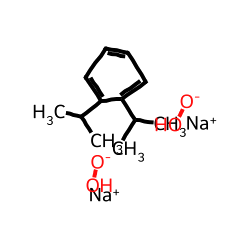 CC(C)c1ccccc1C(C)C.[Na+].[Na+].[O-]O.[O-]O